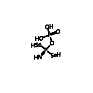 N=P([SeH])([SeH])OP(=O)(O)O